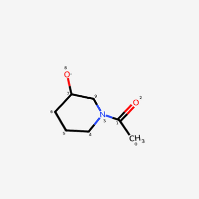 CC(=O)N1CCCC([O])C1